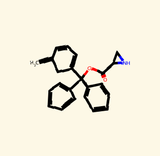 C=C1C=CC=C(C(OC(=O)C2CN2)(c2ccccc2)c2ccccc2)C1